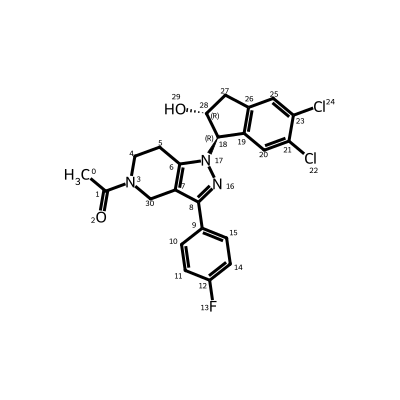 CC(=O)N1CCc2c(c(-c3ccc(F)cc3)nn2[C@@H]2c3cc(Cl)c(Cl)cc3C[C@H]2O)C1